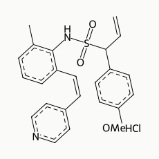 C=CC(c1ccc(OC)cc1)S(=O)(=O)Nc1c(C)cccc1C=Cc1ccncc1.Cl